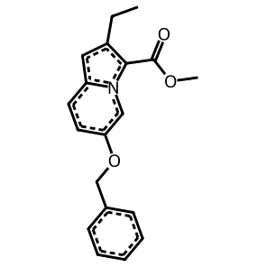 CCc1cc2ccc(OCc3ccccc3)cn2c1C(=O)OC